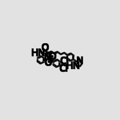 O=C1Nc2ccccc2N(S(=O)(=O)c2ccc(Cl)c(Cl)c2)[C@@H]1CC=CCCc1ccc(C2=NCCN2)cc1